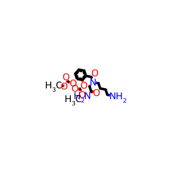 COC(=O)Oc1cccc(C(=O)N(CCCCN)CC(N)=O)c1OC(=O)OC